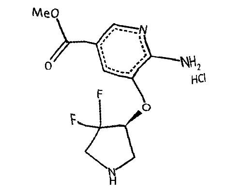 COC(=O)c1cnc(N)c(O[C@H]2CNCC2(F)F)c1.Cl